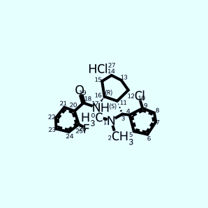 CN(C)C(c1ccccc1Cl)[C@H]1CCCC[C@H]1NC(=O)c1ccccc1F.Cl